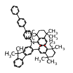 CC1(C)CCC(C)(C)c2cc(-c3cc4c(cc3N(c3ccc(-c5ccc(-c6ccccc6)cc5)cc3)c3cccc5c3C(C)(C)CCC5(C)C)C(C)(C)c3ccccc3-4)ccc21